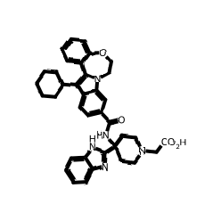 O=C(O)CN1CCC(NC(=O)c2ccc3c(C4CCCCC4)c4n(c3c2)CCOc2ccccc2-4)(c2nc3ccccc3[nH]2)CC1